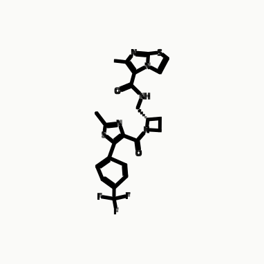 Cc1nc(C(=O)N2CC[C@H]2CNC(=O)c2c(C)nc3sccn23)c(-c2ccc(C(F)(F)F)cc2)s1